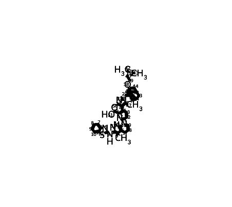 Cc1c(Nc2nc3ccccc3s2)nnc2c1CC=CN2c1ccc(-c2cnn(CC34CC5CC(C3)CC(OCCN(C)C)(C5)C4)c2C)c(C(=O)O)n1